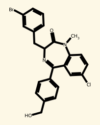 CN1C(=O)C(Cc2cccc(Br)c2)N=C(c2ccc(CO)cc2)c2cc(Cl)ccc21